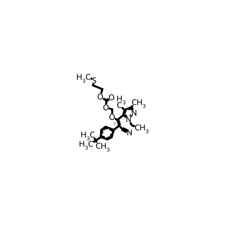 CCn1nc(C)c(C)c1/C(OCOC(=O)OCCSC)=C(\C#N)c1ccc(C(C)(C)C)cc1